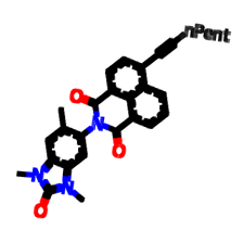 CCCCCC#Cc1ccc2c3c(cccc13)C(=O)N(c1cc3c(cc1C)n(C)c(=O)n3C)C2=O